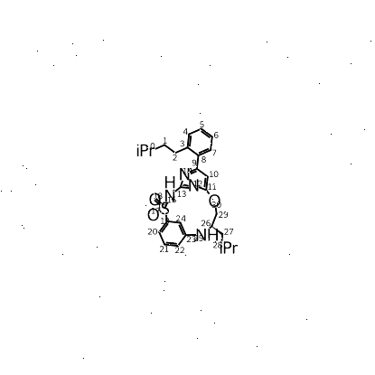 CC(C)CCc1ccccc1-c1cc2nc(n1)NS(=O)(=O)c1cccc(c1)N[C@H](CC(C)C)CO2